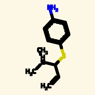 C=CC(Sc1ccc(N)cc1)[SiH](C)C